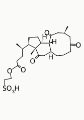 C[C@H]1CC(=O)CCC[C@H]2CC(=O)[C@]3(C)[C@@H]([C@H](C)CCC(=O)OCCS(=O)(=O)O)CC[C@H]3[C@@H]2C(=O)C1